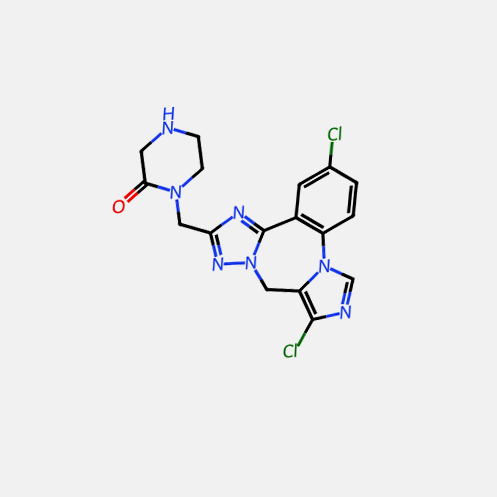 O=C1CNCCN1Cc1nc2n(n1)Cc1c(Cl)ncn1-c1ccc(Cl)cc1-2